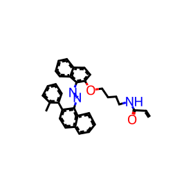 C=CC(=O)NCCCCOc1ccc2ccccc2c1N=Nc1c(-c2ccccc2C)ccc2ccccc12